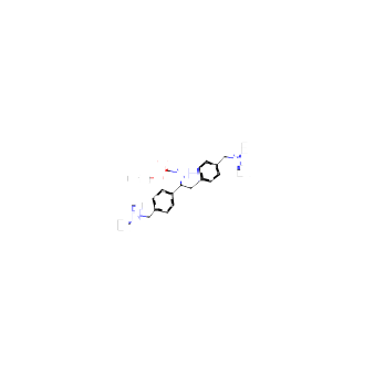 CCN(CC)Cc1ccc(CC(NC(=O)OC(C)(C)C)c2ccc(CN(CC)CC)cc2)cc1